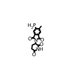 Cc1cc2c(cc1P)C(=O)N(C1CCC(=O)NC1=O)C2=O